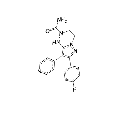 NC(=O)N1CCn2nc(-c3ccc(F)cc3)c(-c3ccncc3)c2N1